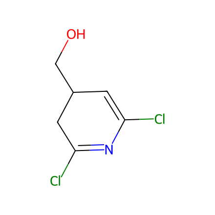 OCC1C=C(Cl)N=C(Cl)C1